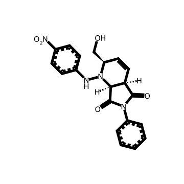 O=C1[C@@H]2[C@@H](C=C[C@H](CO)N2Nc2ccc([N+](=O)[O-])cc2)C(=O)N1c1ccccc1